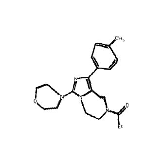 CCC(=O)N1CCn2c(N3CCOCC3)nc(-c3ccc(C)cc3)c2C1